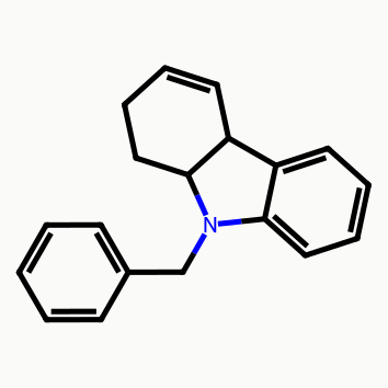 C1=CC2c3ccccc3N(Cc3ccccc3)C2CC1